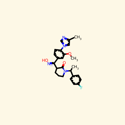 COc1cc(/C(=N\O)C2CCCN(C(C)c3ccc(F)cc3)C2=O)ccc1-n1cnc(C)c1